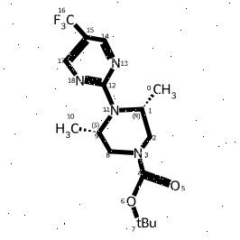 C[C@@H]1CN(C(=O)OC(C)(C)C)C[C@H](C)N1c1ncc(C(F)(F)F)cn1